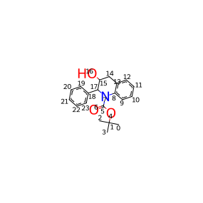 CC(C)(C)OC(=O)N1c2ccccc2CC(O)C1c1ccccc1